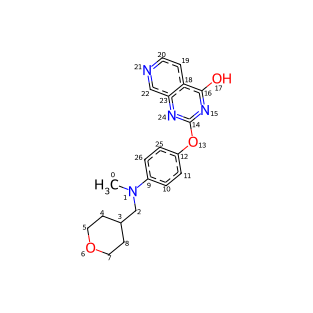 CN(CC1CCOCC1)c1ccc(Oc2nc(O)c3ccncc3n2)cc1